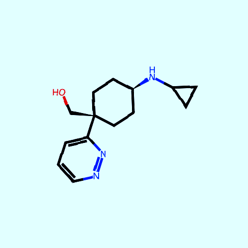 OC[C@]1(c2cccnn2)CC[C@H](NC2CC2)CC1